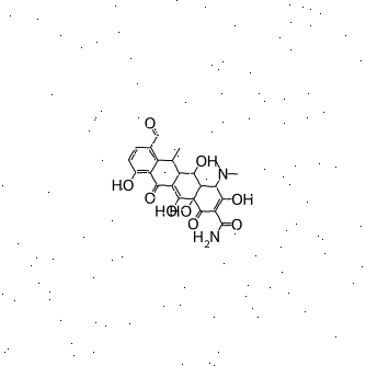 CC1c2c(C=O)ccc(O)c2C(=O)C2=C(O)C3(O)C(=O)C(C(N)=O)=C(O)C(N(C)C)C3C(O)C21